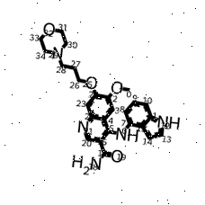 COc1cc2c(Nc3cccc4[nH]ccc34)c(C(N)=O)cnc2cc1OCCCN1CCOCC1